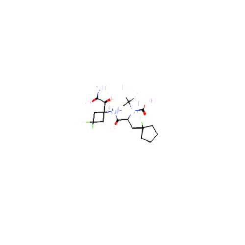 CC(C)(C)N(C(=O)O)C(CC1(F)CCCC1)C(=O)NC1(C(=O)C(N)=O)CC(F)(F)C1